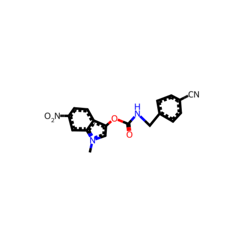 Cn1cc(OC(=O)NCc2ccc(C#N)cc2)c2ccc([N+](=O)[O-])cc21